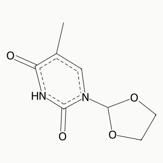 Cc1cn(C2OCCO2)c(=O)[nH]c1=O